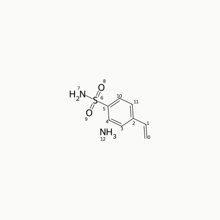 C=Cc1ccc(S(N)(=O)=O)cc1.N